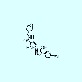 N#Cc1ccc(-c2cnn(C3C=CC(C(=O)NCC4CCOCC4)=CN3)c2O)cc1